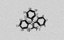 F[C](F)[Si](c1ccccc1)(c1ccccc1)c1ccccc1